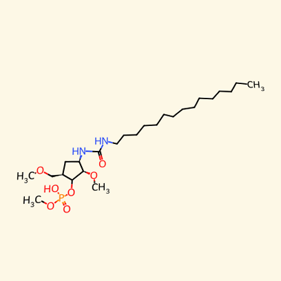 CCCCCCCCCCCCCCCNC(=O)N[C@@H]1C[C@H](COC)C(OP(=O)(O)OC)[C@@H]1OC